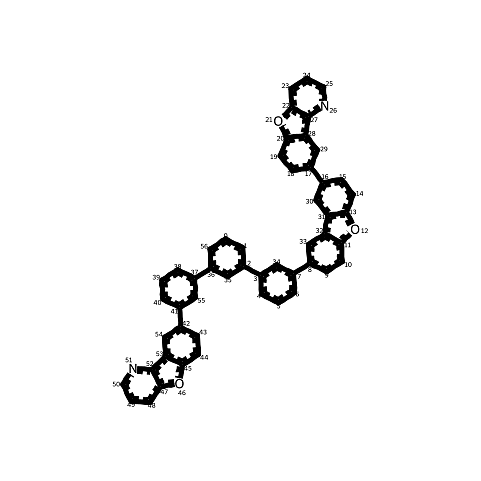 c1cc(-c2cccc(-c3ccc4oc5ccc(-c6ccc7oc8cccnc8c7c6)cc5c4c3)c2)cc(-c2cccc(-c3ccc4oc5cccnc5c4c3)c2)c1